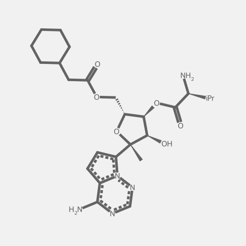 CC(C)[C@H](N)C(=O)O[C@H]1[C@@H](O)[C@](C)(c2ccc3c(N)ncnn23)O[C@@H]1COC(=O)CC1CCCCC1